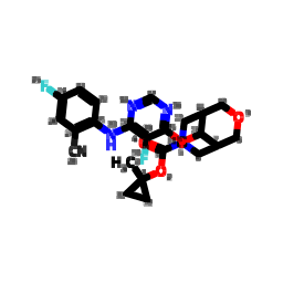 CC1(OC(=O)N2CC3COCC(C2)C3Oc2ncnc(Nc3ccc(F)cc3C#N)c2F)CC1